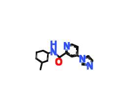 CC1CCCC(NC(=O)c2cc(-n3ccnc3)ccn2)C1